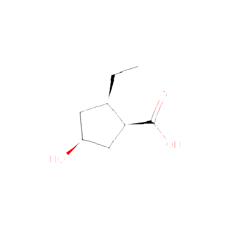 CC[C@@H]1C[C@H](O)C[C@@H]1C(=O)O